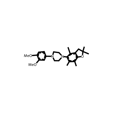 COc1ccc(N2CCN(c3c(C)c(C)c4c(c3C)CC(C)(C)O4)CC2)cc1OC